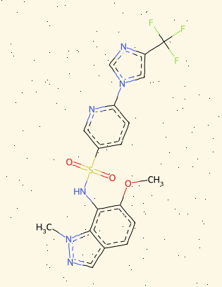 COc1ccc2cnn(C)c2c1NS(=O)(=O)c1ccc(-n2cnc(C(F)(F)F)c2)nc1